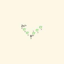 [B+3].[Cl-].[Cl-].[Cl-].[Cl-].[Cl-].[Zn+2]